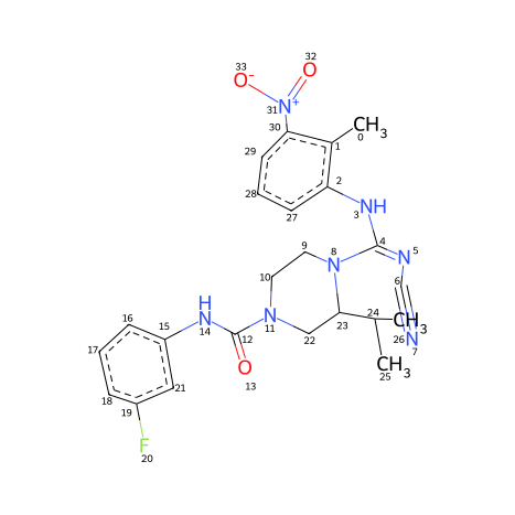 Cc1c(N/C(=N/C#N)N2CCN(C(=O)Nc3cccc(F)c3)CC2C(C)C)cccc1[N+](=O)[O-]